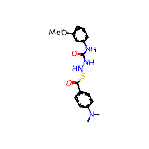 COc1cccc(NC(=O)NNSC(=O)c2ccc(N(C)C)cc2)c1